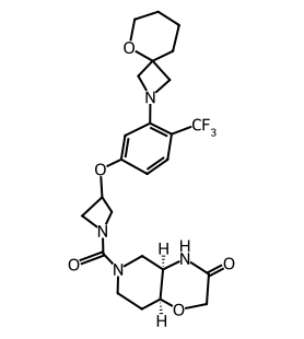 O=C1CO[C@H]2CCN(C(=O)N3CC(Oc4ccc(C(F)(F)F)c(N5CC6(CCCCO6)C5)c4)C3)C[C@H]2N1